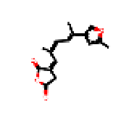 CC(=CC=C(C)c1coc(C)c1)C=C1CC(=O)OC1=O